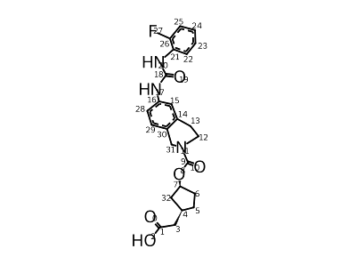 O=C(O)C[C@@H]1CC[C@H](OC(=O)N2CCc3cc(NC(=O)Nc4ccccc4F)ccc3C2)C1